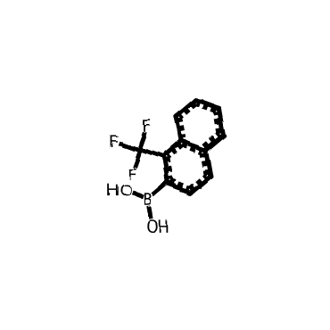 OB(O)c1ccc2ccccc2c1C(F)(F)F